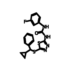 O=C(Nc1cccc(F)c1)Nc1nnc(SC(c2ccccc2)C2CC2)s1